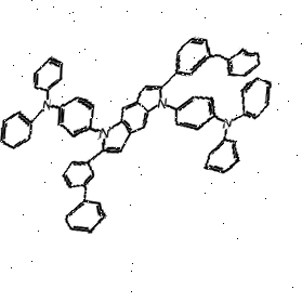 c1ccc(-c2cccc(-c3cc4cc5c(cc(-c6cccc(-c7ccccc7)c6)n5-c5ccc(N(c6ccccc6)c6ccccc6)cc5)cc4n3-c3ccc(N(c4ccccc4)c4ccccc4)cc3)c2)cc1